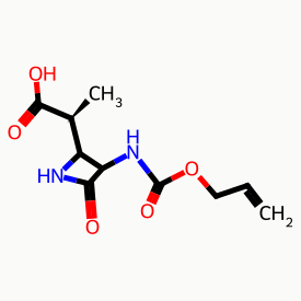 C=CCOC(=O)NC1C(=O)NC1[C@H](C)C(=O)O